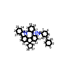 c1ccc(-c2cccc(Nc3ccc4c5c3-c3ccccc3-n3c6ccccc6c6ccc(c-5c63)C43CCCC3)c2)cc1